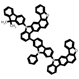 CC1(C)c2ccccc2-c2ccc(-n3c4cc5c(ccc6oc7ccccc7c65)cc4c4c(-c5ccc6c7ccc(-n8c9ccccc9c9cc%10ccc%11oc%12ccccc%12c%11c%10cc98)cc7n(-c7ccccc7)c6c5)cccc43)cc21